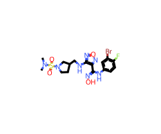 CN(C)S(=O)(=O)N1CCC(CNc2nonc2/C(=N/O)Nc2ccc(F)c(Br)c2)C1